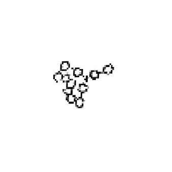 C1=CC2=C(CC1)c1c(ccc3c1sc1ccccc13)C21c2ccccc2-c2ccc(N(c3ccc(-c4ccccc4)cc3)c3ccc(-c4ccccc4)cc3)cc21